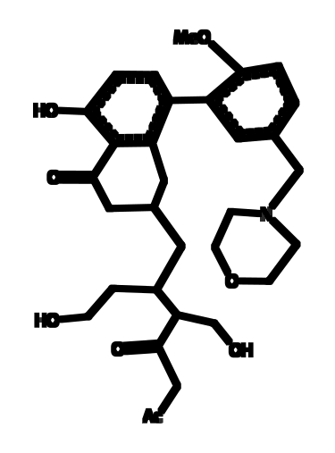 COc1ccc(CN2CCOCC2)cc1-c1ccc(O)c2c1CC(CC(CCO)C(CO)C(=O)CC(C)=O)CC2=O